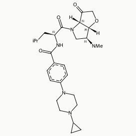 CN[C@H]1CN(C(=O)[C@H](CC(C)C)NC(=O)c2ccc(N3CCN(C4CC4)CC3)cc2)[C@@H]2C(=O)CO[C@H]12